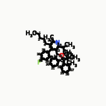 CCCCCc1c(C)nc(C(C)C)c(CO[Si](c2ccccc2)(c2ccccc2)C(C)(C)C)c1-c1ccc(F)cc1